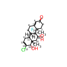 C[C@]12CCC(=O)C=C1CC[C@H]1[C@@H]3CC=C(Cl)C(O)[C@@]3(C)C[C@H](O)[C@@]12F